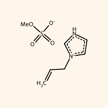 C=CC[n+]1cc[nH]c1.COS(=O)(=O)[O-]